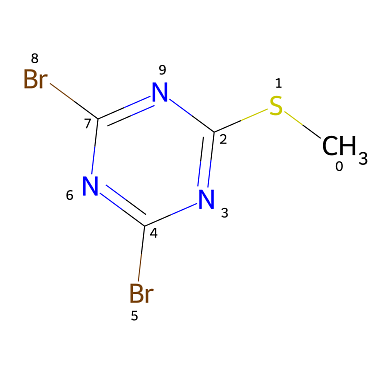 CSc1nc(Br)nc(Br)n1